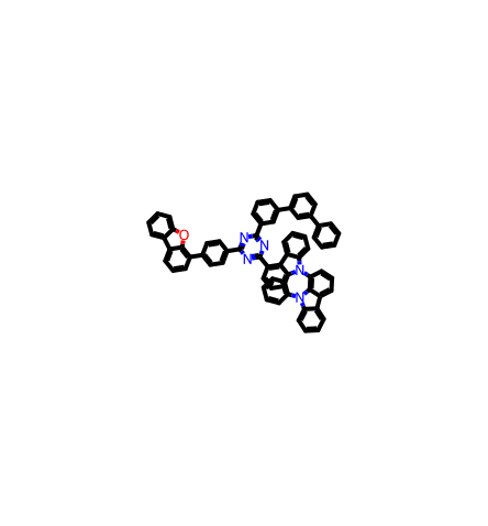 c1ccc(-c2cccc(-c3cccc(-c4nc(-c5ccc(-c6cccc7c6oc6ccccc67)cc5)nc(-c5cccc6c5c5ccccc5n6-c5cccc6c7ccccc7n(-c7ccccc7)c56)n4)c3)c2)cc1